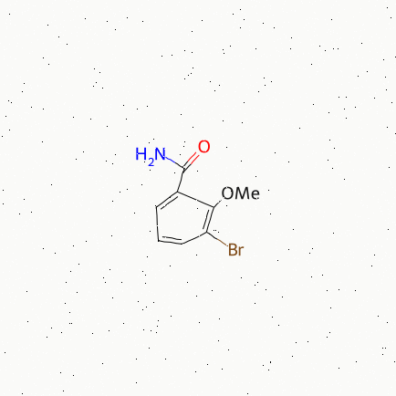 COc1c(Br)cccc1C(N)=O